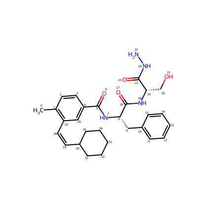 Cc1ccc(C(=O)N[C@@H](Cc2ccccc2)C(=O)N[C@@H](CO)C(=O)NN)cc1/C=C\C1CCCCC1